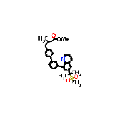 COC(=O)CC(C)Cc1ccc(-c2cccc(-c3cc(C(C)(C)S(C)(=O)=O)cc4cccnc34)c2)cc1